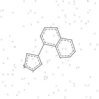 c1ccc2c(-c3ccsc3)cccc2c1